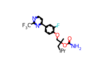 CC(C)CC(C)(COc1ccc(-c2ccnc(C(F)(F)F)n2)cc1F)OC(N)=O